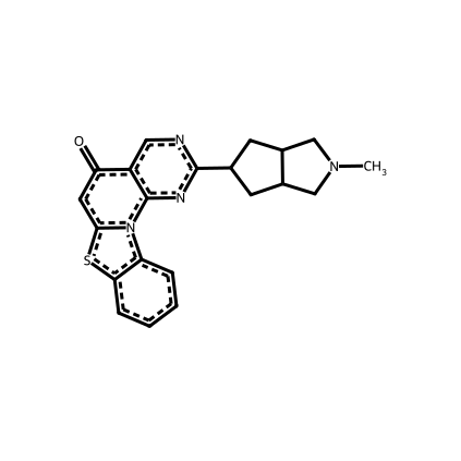 CN1CC2CC(c3ncc4c(=O)cc5sc6ccccc6n5c4n3)CC2C1